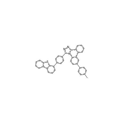 Cc1ccc(-c2ccc3c(c2)c2ccccc2c2nnc(-c4ccc(-c5cccc6c5sc5ccccc56)cc4)n32)cc1